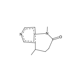 CC1CCC(=O)N(C)c2ccncc21